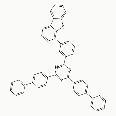 c1ccc(-c2ccc(-c3nc(-c4ccc(-c5ccccc5)cc4)nc(-c4cccc(-c5cccc6c5sc5ccccc56)c4)n3)cc2)cc1